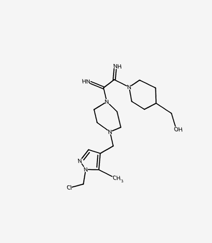 Cc1c(CN2CCN(C(=N)C(=N)N3CCC(CO)CC3)CC2)cnn1CCl